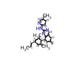 C/C=C/c1cc(C)c(-c2cc(F)cc3cnc(Nc4ccc(C)cn4)nc23)c(C)c1